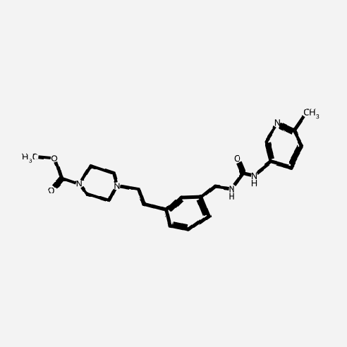 COC(=O)N1CCN(CCc2cccc(CNC(=O)Nc3ccc(C)nc3)c2)CC1